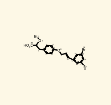 CCOC(Cc1ccc(OCC=Cc2cc(Br)cc(Br)c2)cc1)C(=O)O